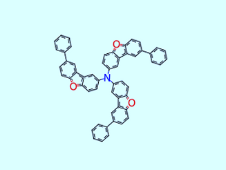 c1ccc(-c2ccc3oc4ccc(N(c5ccc6oc7ccc(-c8ccccc8)cc7c6c5)c5ccc6oc7ccc(-c8ccccc8)cc7c6c5)cc4c3c2)cc1